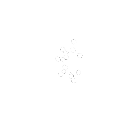 c1ccc(-c2cc(-c3ccccc3)cc(-n3c4ccccc4c4c5c6ccccc6n(-c6ccc7c(c6)c6ccccc6n7-c6nc(-c7ccccc7)c7ccccc7n6)c5ccc43)c2)cc1